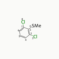 [CH2]Sc1c(Cl)cccc1Cl